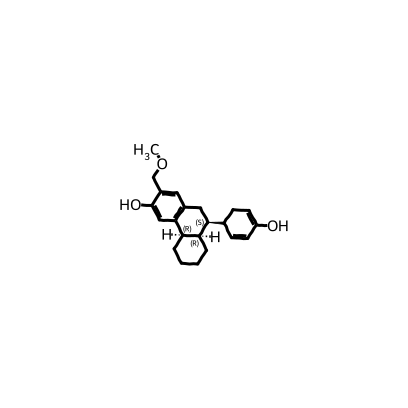 COCc1cc2c(cc1O)[C@@H]1CCCC[C@@H]1[C@H](C1C=CC(O)=CC1)C2